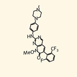 COn1c(=O)c(-c2c(F)cccc2C(F)(F)F)cc2cnc(Nc3ccc(N4CCN(C)CC4)cc3)nc21